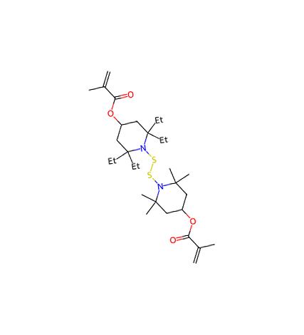 C=C(C)C(=O)OC1CC(C)(C)N(SSN2C(CC)(CC)CC(OC(=O)C(=C)C)CC2(CC)CC)C(C)(C)C1